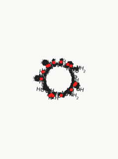 CCCC[C@H]1C(=O)N(C)[C@@H](CCCC)C(=O)N[C@@H](Cc2cccnc2)C(=O)N[C@H](C(=O)NCC(N)=O)CSCC(=O)N[C@@H](Cc2ccc(O)cc2)C(=O)N(C)[C@@H](C)C(=O)N[C@@H](CC(N)=O)C(=O)N2CCC[C@H]2C(=O)N[C@@H](Cc2cnc[nH]2)C(=O)N[C@@H](CC(C)C)C(=O)N2C[C@H](O)CC2C(=O)N[C@@H](Cc2c[nH]c3ccccc23)C(=O)N[C@@H](CO)C(=O)N[C@@H](Cc2c[nH]c3ccccc23)C(=O)N1C